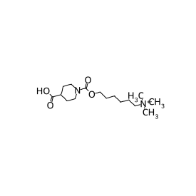 C[N+](C)(C)CCCCCCOC(=O)N1CCC(C(=O)O)CC1